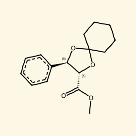 COC(=O)[C@H]1OC2(CCCCC2)O[C@@H]1c1ccccc1